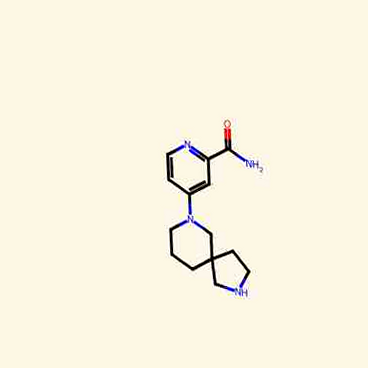 NC(=O)c1[c]c(N2CCCC3(CCNC3)C2)ccn1